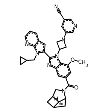 COc1cc(C(=O)N2CC3CC4CC2[C@H]43)cc2nc(-c3cc4cccnc4n3CC3CC3)n(C3CN(c4cncc(C#N)c4)C3)c12